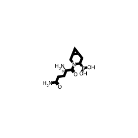 NC(=O)CC[C@H](N)C(=O)N1CC2CC2CC1B(O)O